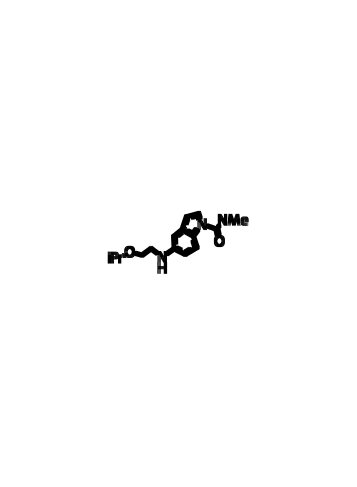 CNC(=O)n1ccc2cc(NCCOC(C)C)ccc21